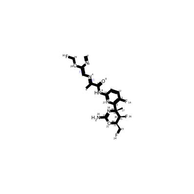 C=N/C(=C\N=C(/C)C(=O)Nc1ccc(F)c([C@@]2(C)N=C(N)O[C@H](CF)[C@@H]2F)n1)OCF